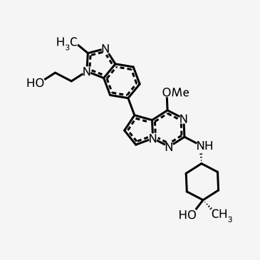 COc1nc(N[C@H]2CC[C@](C)(O)CC2)nn2ccc(-c3ccc4nc(C)n(CCO)c4c3)c12